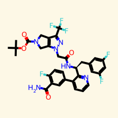 CC(C)(C)OC(=O)N1Cc2c(C(F)(F)F)nn(CC(=O)N[C@@H](Cc3cc(F)cc(F)c3)c3ncccc3-c3ccc(F)c(C(N)=O)c3)c2C1